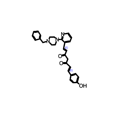 O=C(/C=C/c1ccc(O)cc1)CC(=O)/C=C/c1cccnc1N1CCN(Cc2ccccc2)CC1